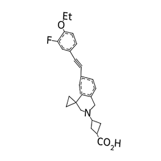 CCOc1ccc(C#Cc2ccc3c(c2)C2(CC2)CN(C2CC(C(=O)O)C2)C3)cc1F